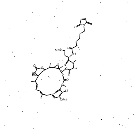 C=C1C=CC(=O)N1CCCCCC(=O)NC(CCSC)C(=O)N(C)[C@@H](C)C(=O)OC1CC(=O)N(C)c2cc(cc(OC)c2Cl)C/C(C)=C/C=C/C(C)C2(O)CC(OC(=O)N2)C(C)C2OC12C